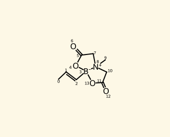 C/C=C/[B-]12OC(=O)C[N+]1(C)CC(=O)O2